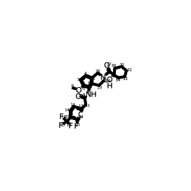 COc1ccc2c(c1NC(=O)Cc1ccc(C(F)(F)F)c(F)c1)CCN(C(=O)C1(O)CCCCC1)C2